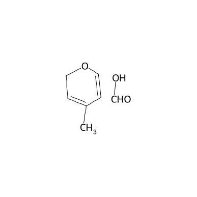 CC1=CCOC=C1.O=CO